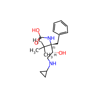 CC(C)(C)[C@](Cc1ccccc1)(NC(=O)O)[C@H](O)CNC1CC1